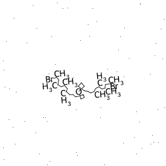 CC(Br)CC(C)CC(C)CC(C)CCCC1(OC2(CCCC(C)CC(C)CC(C)CC(C)Br)CCC2)CCC1